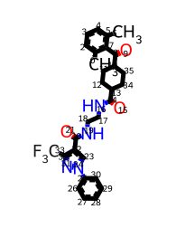 Cc1cccc(C)c1C(=O)C1CCC(C(=O)NCCNC(=O)c2cn(-c3ccccc3)nc2C(F)(F)F)CC1